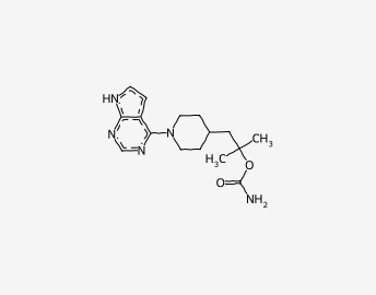 CC(C)(CC1CCN(c2ncnc3[nH]ccc23)CC1)OC(N)=O